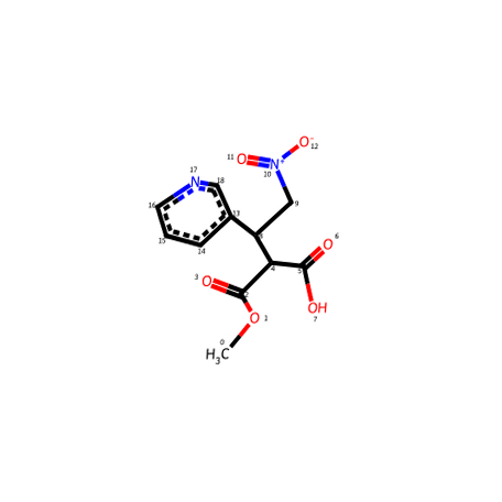 COC(=O)C(C(=O)O)C(C[N+](=O)[O-])c1cccnc1